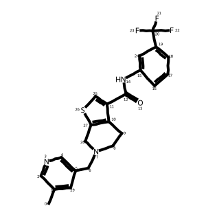 Cc1cncc(CN2CCc3c(C(=O)Nc4cccc(C(F)(F)F)c4)csc3C2)c1